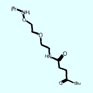 CC(C)NOCCOCCNC(=O)CCC(=O)C(C)(C)C